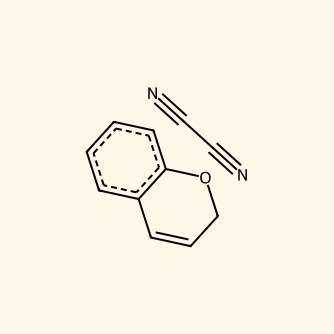 C1=Cc2ccccc2OC1.N#CC#N